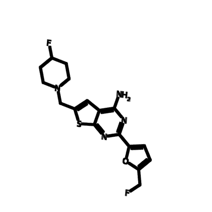 Nc1nc(-c2ccc(CF)o2)nc2sc(CN3CCC(F)CC3)cc12